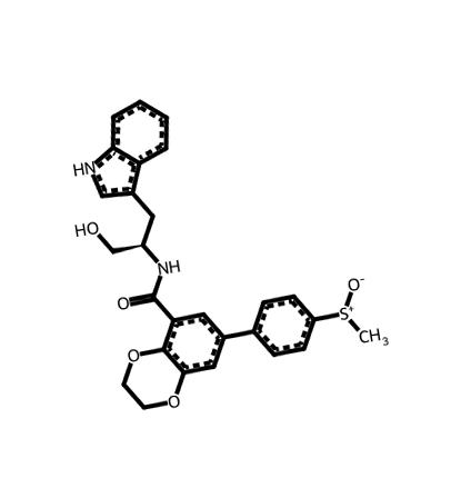 C[S+]([O-])c1ccc(-c2cc3c(c(C(=O)N[C@@H](CO)Cc4c[nH]c5ccccc45)c2)OCCO3)cc1